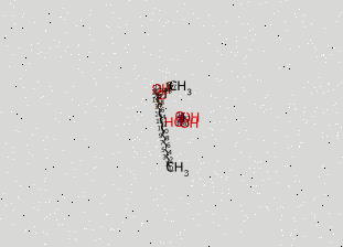 CCCCCCCCCCCCCCCCCCSCC(CO)OCCSC.O=P(O)(O)O